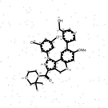 COc1cc2c(cc1-c1cncc(CO)c1)-c1c(c(C(=O)N3CCOCC3(C)C)nn1-c1cc(Cl)cc(Cl)c1)CO2